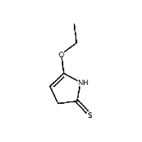 CCOC1=CCC(=S)N1